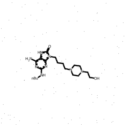 CCCCNc1nc(N)c2[nH]c(=O)n(CCCCN3CCN(CCO)CC3)c2n1